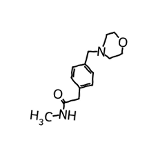 CNC(=O)Cc1ccc(CN2CCOCC2)cc1